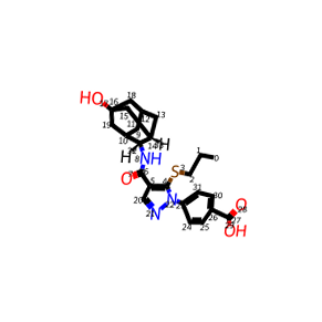 CCCSc1c(C(=O)N[C@@H]2C3CC4C[C@H]2CC(O)(C4)C3)cnn1-c1ccc(C(=O)O)cc1